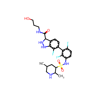 CC1NCC(C#N)CC1S(=O)(=O)Nc1ccc(F)c(-c2ccc3c(c2F)NNC3C(=O)NCCCO)c1F